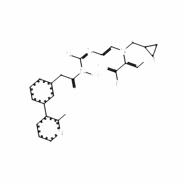 C/C=C(/C(=O)CC)N(/C=C/N=C(/N)N(C)C(=O)Cc1cccc(-c2cccnc2F)c1)CC1CC1